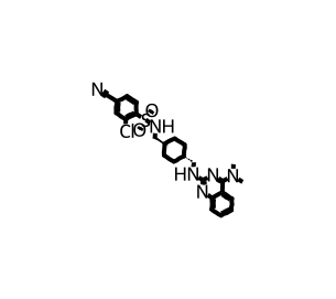 CN(C)c1nc(NC[C@H]2CC[C@H](CNS(=O)(=O)c3ccc(C#N)cc3Cl)CC2)nc2ccccc12